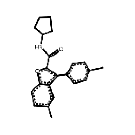 Cc1ccc(-c2c(C(=O)NC3CCCC3)oc3ccc(C)cc23)cc1